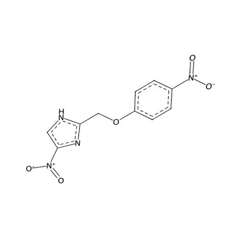 O=[N+]([O-])c1ccc(OCc2nc([N+](=O)[O-])c[nH]2)cc1